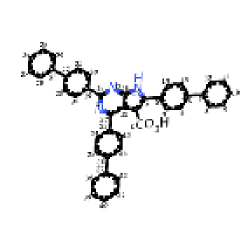 O=C(O)c1c(-c2ccc(-c3ccccc3)cc2)[nH]c2nc(-c3ccc(-c4ccccc4)cc3)nc(-c3ccc(-c4ccccc4)cc3)c12